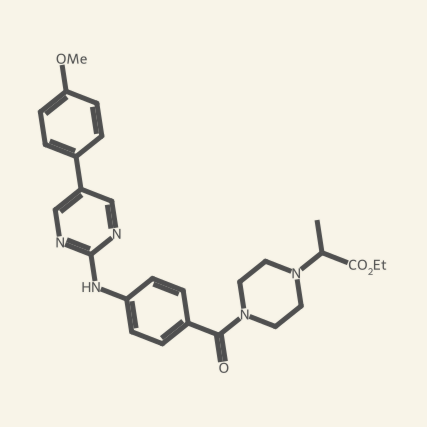 CCOC(=O)C(C)N1CCN(C(=O)c2ccc(Nc3ncc(-c4ccc(OC)cc4)cn3)cc2)CC1